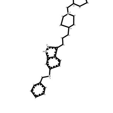 c1ccc(COc2ccc3c(CCCC4CCN(CC5CCCCC5)CC4)noc3c2)cc1